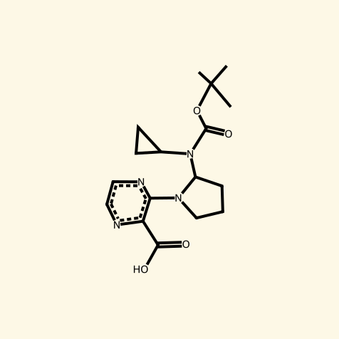 CC(C)(C)OC(=O)N(C1CC1)C1CCCN1c1nccnc1C(=O)O